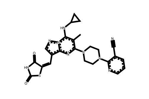 Cc1c(N2CCN(c3ncccc3C#N)CC2)nc2c(/C=C3/SC(=O)NC3=O)cnn2c1NC1CC1